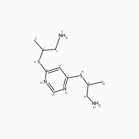 CC(CN)Sc1cc(SC(C)CN)ncn1